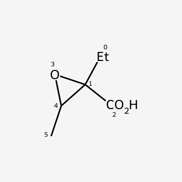 CCC1(C(=O)O)OC1C